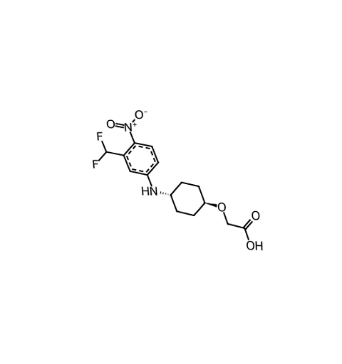 O=C(O)CO[C@H]1CC[C@H](Nc2ccc([N+](=O)[O-])c(C(F)F)c2)CC1